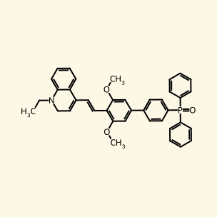 CCN1CC=C(C=Cc2c(OC)cc(-c3ccc(P(=O)(c4ccccc4)c4ccccc4)cc3)cc2OC)c2ccccc21